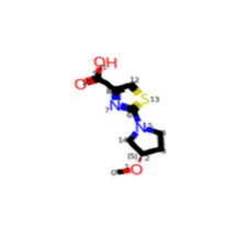 CO[C@H]1CCN(c2nc(C(=O)O)cs2)C1